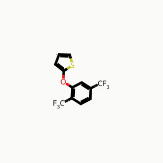 FC(F)(F)c1ccc(C(F)(F)F)c(Oc2c[c]cs2)c1